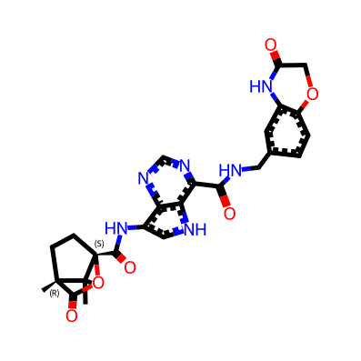 CC1(C)[C@@]2(C)CC[C@]1(C(=O)Nc1c[nH]c3c(C(=O)NCc4ccc5c(c4)NC(=O)CO5)ncnc13)OC2=O